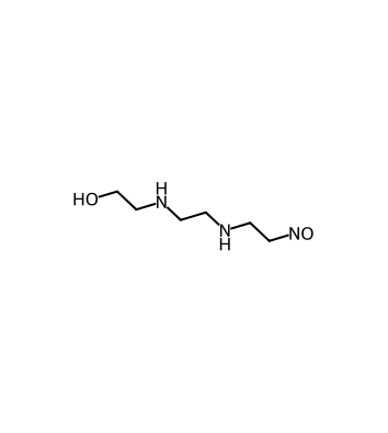 O=NCCNCCNCCO